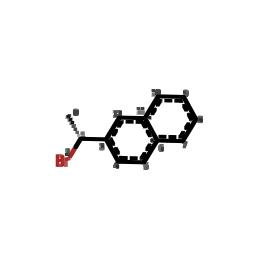 C[C@@H](Br)c1ccc2ccccc2c1